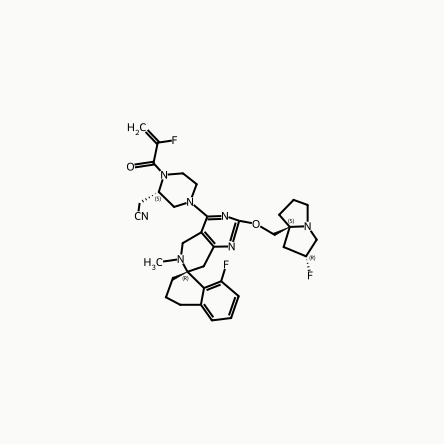 C=C(F)C(=O)N1CCN(c2nc(OC[C@@]34CCCN3C[C@H](F)C4)nc3c2CN(C)[C@]2(CCCc4cccc(F)c42)C3)C[C@@H]1CC#N